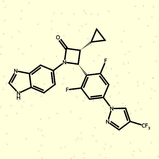 O=C1[C@H](C2CC2)[C@H](c2c(F)cc(-n3cc(C(F)(F)F)cn3)cc2F)N1c1ccc2[nH]cnc2c1